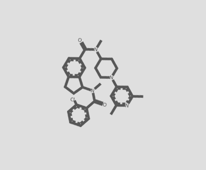 Cc1cc(N2CCC(N(C)C(=O)c3ccc4c(c3)C(N(C)C(=O)c3ccccc3Cl)CC4)CC2)cc(C)n1